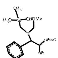 CCCCCC(CCC)C(c1ccccc1)N(COC)C[Si](C)(C)C